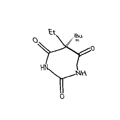 CC[C@@H](C)C1(CC)C(=O)NC(=O)NC1=O